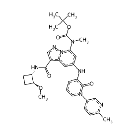 CO[C@H]1CC[C@@H]1NC(=O)c1cnn2c(N(C)C(=O)OC(C)(C)C)cc(Nc3cccn(-c4ccc(C)nc4)c3=O)cc12